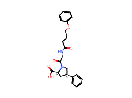 O=C(CCCOc1ccccc1)NCC(=O)N1C[C@@H](c2ccccc2)C[C@H]1C(=O)O